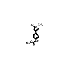 CC(=O)c1cc(-c2ccc(NC(=O)OC(C)(C)C)cc2)cn1C